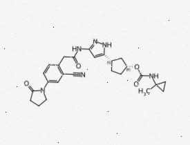 CC1(NC(=O)O[C@@H]2CC[C@H](c3cc(NC(=O)Cc4ccc(N5CCCC5=O)cc4C#N)n[nH]3)C2)CC1